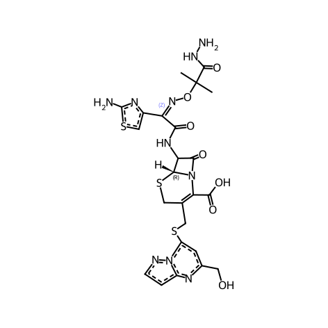 CC(C)(O/N=C(\C(=O)NC1C(=O)N2C(C(=O)O)=C(CSc3cc(CO)nc4ccnn34)CS[C@H]12)c1csc(N)n1)C(=O)NN